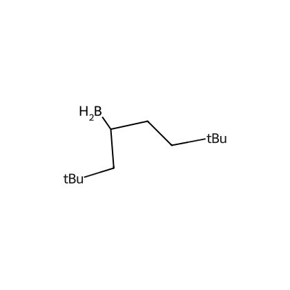 BC(CCC(C)(C)C)CC(C)(C)C